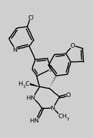 CN1C(=N)N[C@](C)(c2cc(-c3cc(Cl)ccn3)cs2)[C@H](c2ccc3occc3c2)C1=O